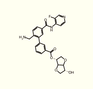 NCc1ccc(C(=O)Nc2ccncc2F)cc1-c1cccc(C(=O)O[C@@H]2COC3C2OC[C@H]3O)c1